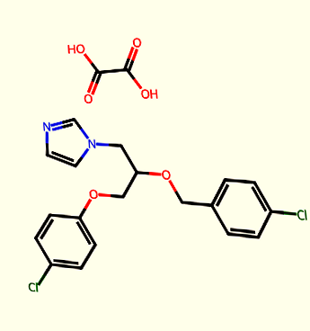 Clc1ccc(COC(COc2ccc(Cl)cc2)Cn2ccnc2)cc1.O=C(O)C(=O)O